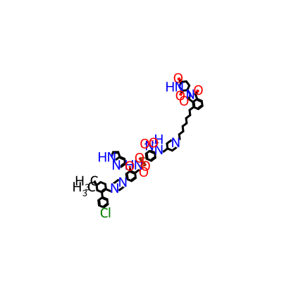 CC1(C)CCC(CN2CCN(c3ccc(C(=O)NS(=O)(=O)c4ccc(NCC5CCN(CCCCCCCCc6cccc7c6C(=O)N(C6CCC(=O)NC6=O)C7=O)CC5)c([N+](=O)[O-])c4)c(Oc4cnc5[nH]ccc5c4)c3)CC2)=C(c2ccc(Cl)cc2)C1